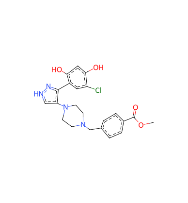 COC(=O)c1ccc(CN2CCN(c3c[nH]nc3-c3cc(Cl)c(O)cc3O)CC2)cc1